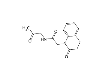 CC(=O)CNC(=O)CN1C(=O)CCc2ccccc21